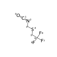 O=C=NCSCC(F)(F)F